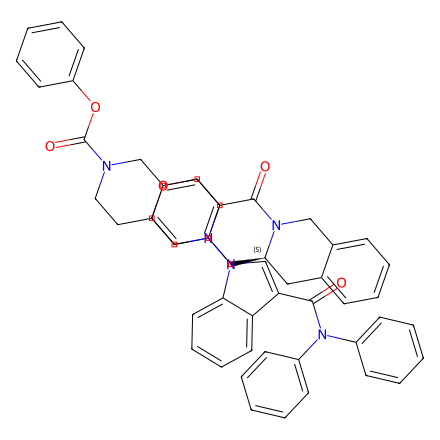 O=C(Oc1ccccc1)N1CCc2cc(-n3cc(C(=O)N(c4ccccc4)c4ccccc4)c4ccccc43)c(C(=O)N3Cc4ccccc4C[C@H]3CN3CCOCC3)cc2C1